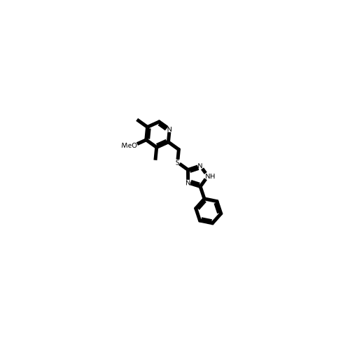 COc1c(C)[c]nc(CSc2n[nH]c(-c3ccccc3)n2)c1C